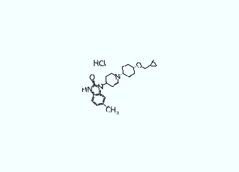 Cc1ccc2[nH]c(=O)n(C3CCN([C@H]4CC[C@@H](OCC5CC5)CC4)CC3)c2c1.Cl